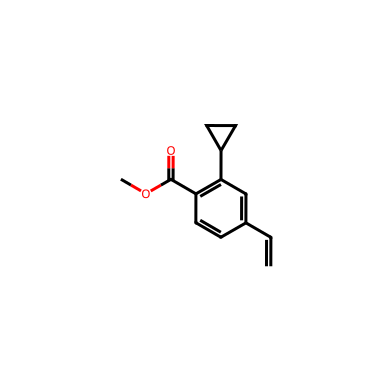 C=Cc1ccc(C(=O)OC)c(C2CC2)c1